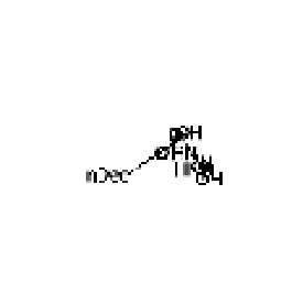 CCCCCCCCCCCCCCCCCCOCCCOP(=O)(O)CCCNCc1c[nH]c2c(O)ncnc12